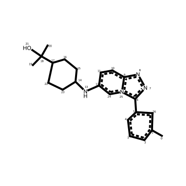 Cc1cccc(-c2nnc3ccc(NC4CCC(C(C)(C)O)CC4)cn23)c1